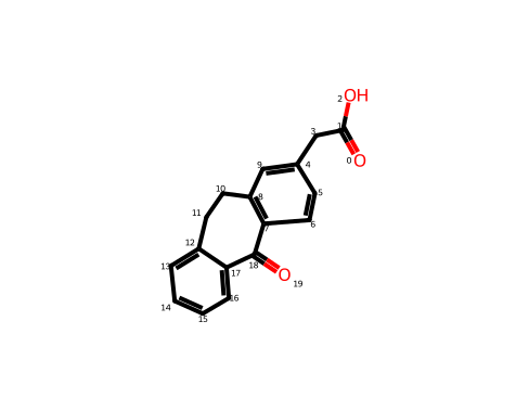 O=C(O)Cc1ccc2c(c1)CCc1ccccc1C2=O